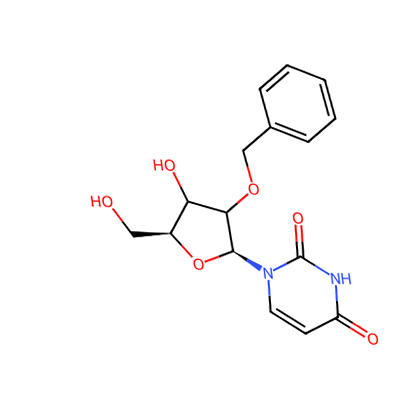 O=c1ccn([C@H]2O[C@@H](CO)C(O)C2OCc2ccccc2)c(=O)[nH]1